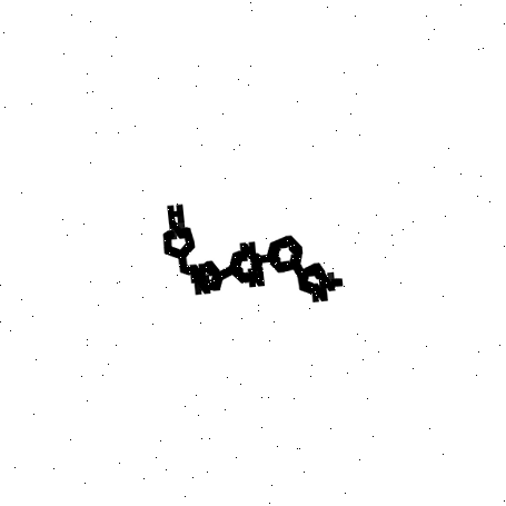 Cn1cc(-c2cccc(-c3ncc(-c4cnn(CC5CCNCC5)c4)cn3)c2)cn1